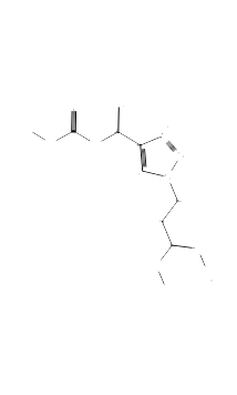 CCOC(=S)OC(C)c1cn(CCC(OCC)OCC)nn1